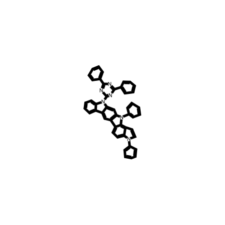 c1ccc(-c2nc(-c3ccccc3)nc(-n3c4ccccc4c4cc5c6ccc7c(ccn7-c7ccccc7)c6n(-c6ccccc6)c5cc43)n2)cc1